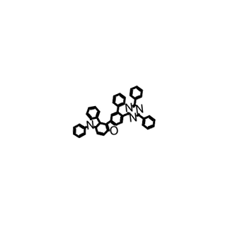 C1=CC2C(c3ccccc3N2c2ccccc2)c2c1oc1cc(-c3nc(-c4ccccc4)nc(-c4ccccc4)n3)c(-c3ccccc3)cc21